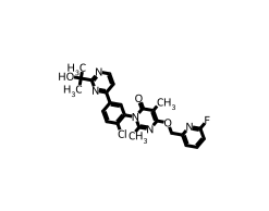 Cc1c(OCc2cccc(F)n2)nc(C)n(-c2cc(-c3ccnc(C(C)(C)O)n3)ccc2Cl)c1=O